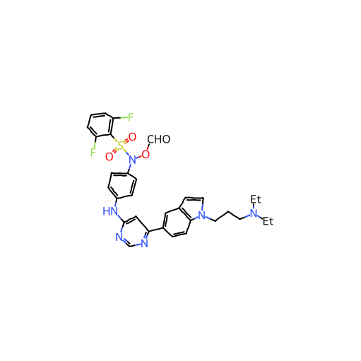 CCN(CC)CCCn1ccc2cc(-c3cc(Nc4ccc(N(OC=O)S(=O)(=O)c5c(F)cccc5F)cc4)ncn3)ccc21